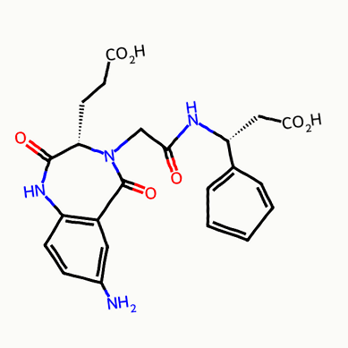 Nc1ccc2c(c1)C(=O)N(CC(=O)N[C@H](CC(=O)O)c1ccccc1)[C@@H](CCC(=O)O)C(=O)N2